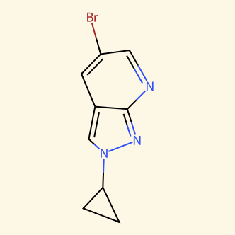 Brc1cnc2nn(C3CC3)cc2c1